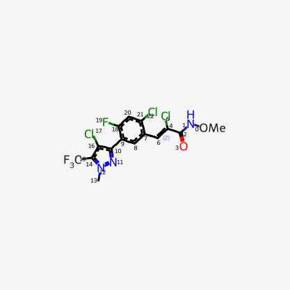 CONC(=O)/C(Cl)=C/c1cc(-c2nn(C)c(C(F)(F)F)c2Cl)c(F)cc1Cl